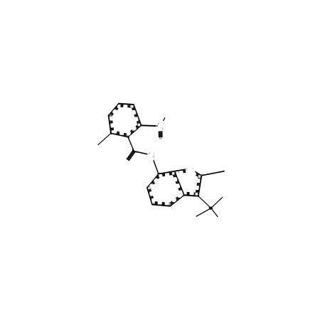 Cc1cccc([N+](=O)[O-])c1C(=O)Nc1cccc2c(C(C)(C)O)c(C)oc12